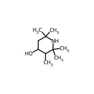 CC1C(O)CC(C)(C)NC1(C)C